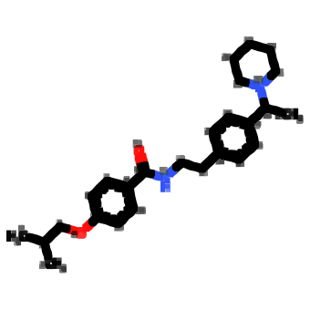 CC(C)COc1ccc(C(=O)NCCc2ccc(C(C)N3CCCCC3)cc2)cc1